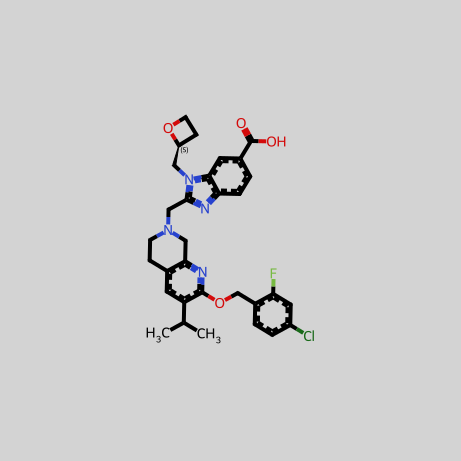 CC(C)c1cc2c(nc1OCc1ccc(Cl)cc1F)CN(Cc1nc3ccc(C(=O)O)cc3n1C[C@@H]1CCO1)CC2